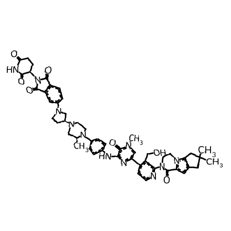 C[C@H]1CN([C@H]2CCN(c3ccc4c(c3)C(=O)N(C3CCC(=O)NC3=O)C4=O)C2)CCN1c1ccc(Nc2nc(-c3ccnc(N4CCn5c(cc6c5CC(C)(C)C6)C4=O)c3CO)cn(C)c2=O)cc1